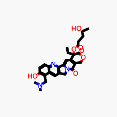 CCC1(OC(=O)CCC(C)O)C(=O)OCc2c1cc1n(c2=O)Cc2cc3c(CN(C)C)c(O)ccc3nc2-1